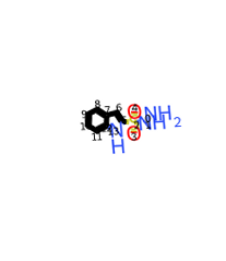 NNS(=O)(=O)c1cc2ccccc2[nH]1